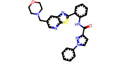 O=C(Nc1ccccc1-c1nc2cc(CN3CCOCC3)cnc2s1)c1ccn(-c2ccccc2)n1